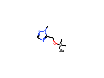 Cn1ncnc1CO[Si](C)(C)C(C)(C)C